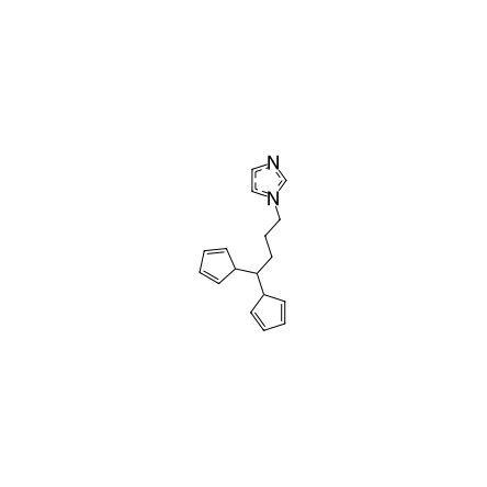 C1=CC(C(CCCn2ccnc2)C2C=CC=C2)C=C1